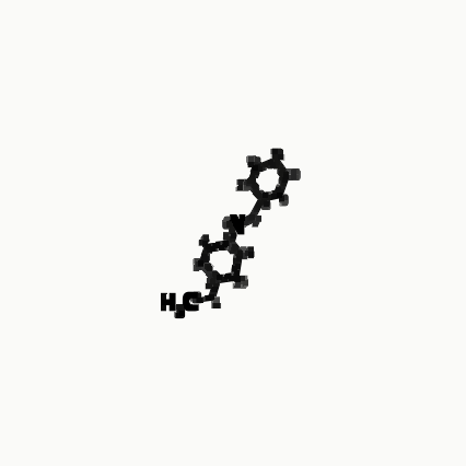 CCc1ccc(/N=C/c2ccccc2)cc1